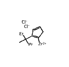 CCC(C)(C1=[C]([Zr+2])CC=C1)C(C)C.[Cl-].[Cl-]